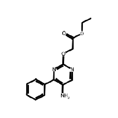 CCOC(=O)COc1ncc(N)c(-c2ccccc2)n1